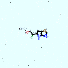 O=COCC(Cl)c1cc2scnc2[nH]1